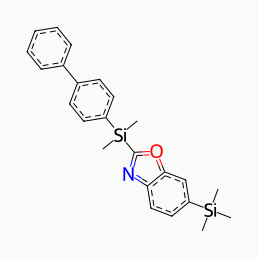 C[Si](C)(C)c1ccc2nc([Si](C)(C)c3ccc(-c4ccccc4)cc3)oc2c1